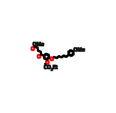 CCOC(=O)COc1cc(C(=O)CCCC(=O)OC)ccc1OCCCC/C=C/c1ccc(OC)cc1